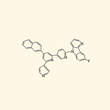 Fc1ccc2c(c1)c1ncccc1n2-c1ccc(-c2cc(-c3ccc4ccccc4c3)cc(-c3ccncc3)n2)cn1